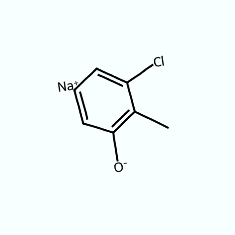 Cc1c([O-])cccc1Cl.[Na+]